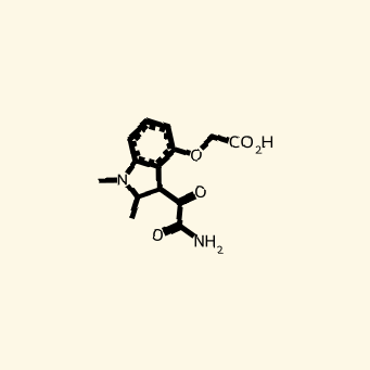 CC1C(C(=O)C(N)=O)c2c(OCC(=O)O)cccc2N1C